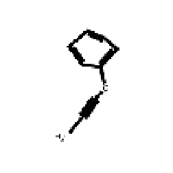 CC#COc1[c]cccc1